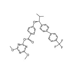 COc1nc(OC)nc(OC(=O)c2ccc(O[C@H](c3ccc(-c4ccc(C(F)(F)F)cc4)cc3)C(C)C)cc2)n1